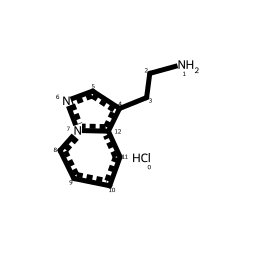 Cl.NCCc1cnn2ccccc12